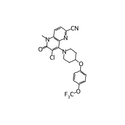 Cn1c(=O)c(Cl)c(N2CCC(Oc3ccc(OC(F)(F)F)cc3)CC2)c2nc(C#N)ccc21